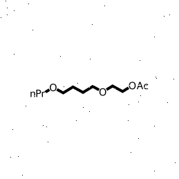 CCCOCCCCOCCOC(C)=O